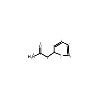 NC(=O)CC1C=CC=CO1